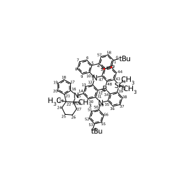 CC(C)(C)c1ccc(-c2ccccc2N2c3cc(N4c5ccccc5C5(C)CCCCC45C)cc4c3B3c5c(cccc5[Si](C)(C)c5cccc2c53)N4c2ccc(C(C)(C)C)cc2)cc1